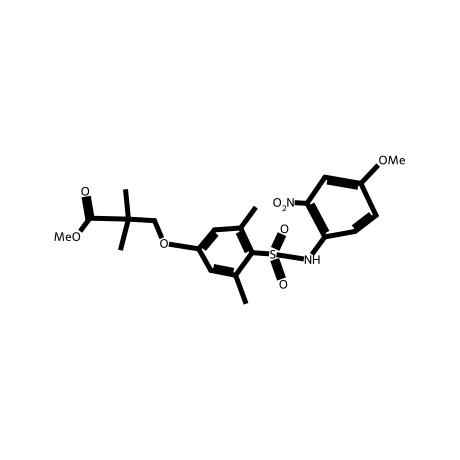 COC(=O)C(C)(C)COc1cc(C)c(S(=O)(=O)Nc2ccc(OC)cc2[N+](=O)[O-])c(C)c1